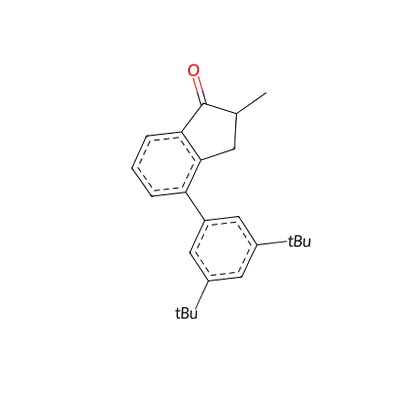 CC1Cc2c(cccc2-c2cc(C(C)(C)C)cc(C(C)(C)C)c2)C1=O